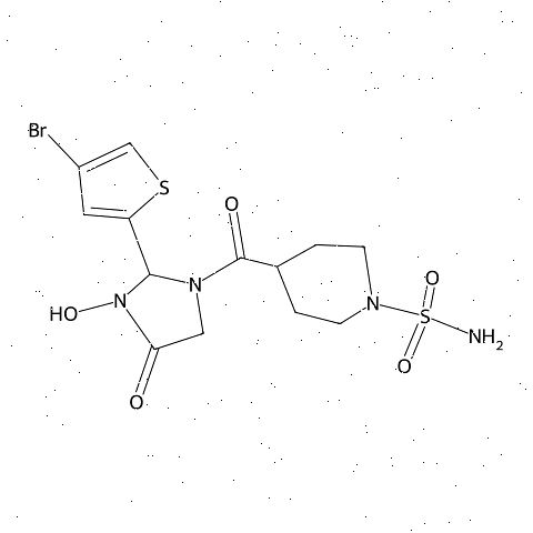 NS(=O)(=O)N1CCC(C(=O)N2CC(=O)N(O)C2c2cc(Br)cs2)CC1